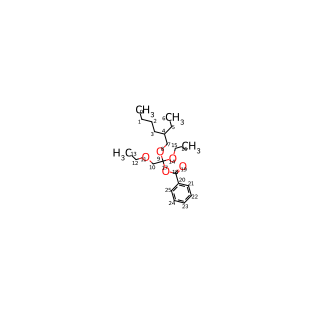 CCCCC(CC)COC(COCC)(OCC)OC(=O)c1ccccc1